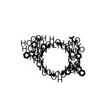 CC(C)[C@H](N)C(=O)N[C@@H](C)C(=O)Nc1ccc(COc2cc3ccccc3nc2C(=O)N[C@@H]2CNC(=O)[C@H](C(C)C)N(C)C(=O)CN(C)C(=O)CNC(=O)[C@@H]3CCCCN3C(=O)[C@H](NC(=O)c3nc4ccccc4cc3O[C@@H]3O[C@H](C(=O)O)[C@@H](O)[C@H](O)[C@H]3O)CNC(=O)[C@H](C(C)C)N(C)C(=O)CN(C)C(=O)CNC(=O)[C@@H]3CCCCN3C2=O)cc1